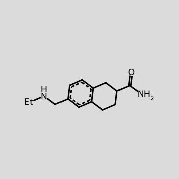 CCNCc1ccc2c(c1)CCC(C(N)=O)C2